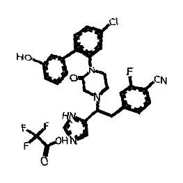 N#Cc1ccc(CC(c2cnc[nH]2)N2CCN(c3cc(Cl)ccc3-c3cccc(O)c3)C(=O)C2)cc1F.O=C(O)C(F)(F)F